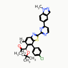 CC(=O)[C@@H](OC(C)(C)C)c1c(C)cc2nc(-c3nccc(-c4ccc5c(cnn5C)c4)n3)sc2c1-c1ccc(Cl)cc1